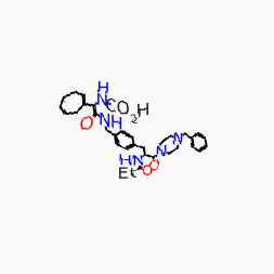 CCC(=O)NC(Cc1ccc(CNC(=O)C(NC(=O)O)C2CCCCCC2)cc1)C(=O)N1CCN(Cc2ccccc2)CC1